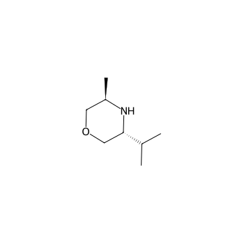 CC(C)[C@@H]1COC[C@@H](C)N1